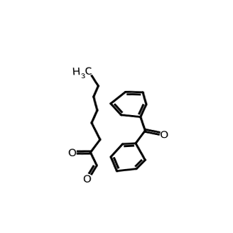 CCCCCCC(=O)C=O.O=C(c1ccccc1)c1ccccc1